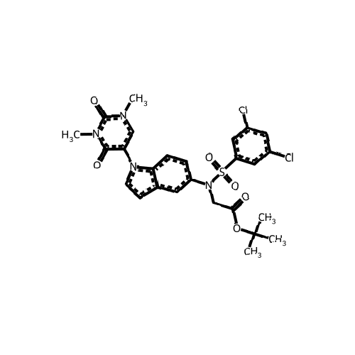 Cn1cc(-n2ccc3cc(N(CC(=O)OC(C)(C)C)S(=O)(=O)c4cc(Cl)cc(Cl)c4)ccc32)c(=O)n(C)c1=O